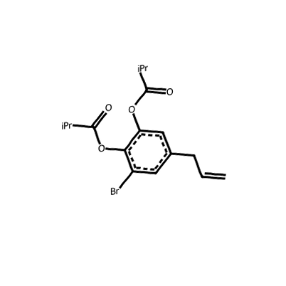 C=CCc1cc(Br)c(OC(=O)C(C)C)c(OC(=O)C(C)C)c1